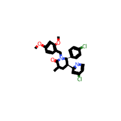 COc1ccc(CN2C(=O)C(C)C[C@H](c3cc(Cl)ccn3)[C@H]2c2ccc(Cl)cc2)c(OC)c1